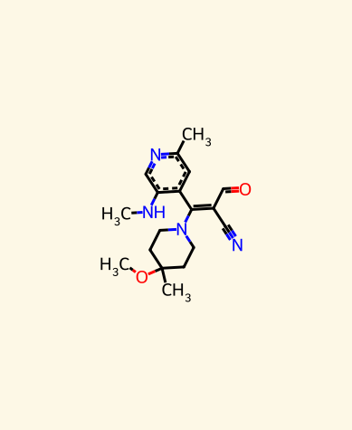 CNc1cnc(C)cc1/C(=C(/C#N)C=O)N1CCC(C)(OC)CC1